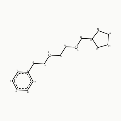 [c]1ccc(CCOCCOCC2CCCC2)cc1